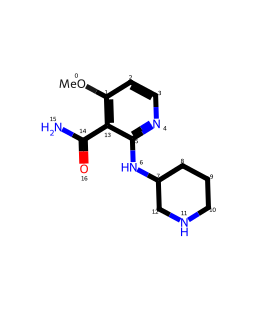 COc1ccnc(NC2CCCNC2)c1C(N)=O